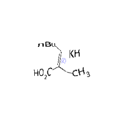 CCCC/C=C(/C)C(=O)O.[KH]